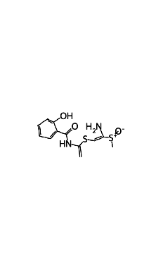 C=C(NC(=O)c1ccccc1O)S/C=C(\N)[S+](C)[O-]